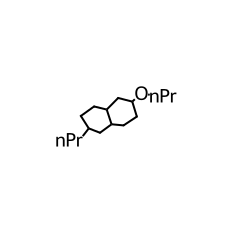 CCCOC1CCC2CC(CCC)CCC2C1